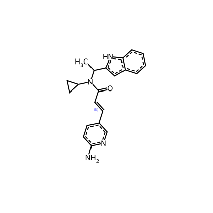 CC(c1cc2ccccc2[nH]1)N(C(=O)/C=C/c1ccc(N)nc1)C1CC1